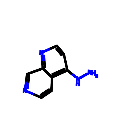 NNc1ccnc2cnccc12